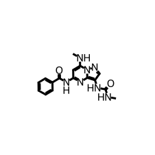 CNC(=O)Nc1cnn2c(NC)cc(NC(=O)c3ccccc3)nc12